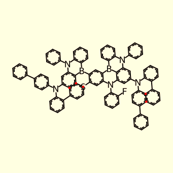 Fc1ccccc1N1c2cc3c(cc2B2c4ccccc4N(c4ccccc4)c4cc(N(c5ccc(-c6ccccc6)cc5)c5ccccc5-c5ccccc5)cc1c42)B1c2ccccc2N(c2ccccc2)c2cc(N(c4ccc(-c5ccccc5)cc4)c4ccccc4-c4ccccc4)cc(c21)S3